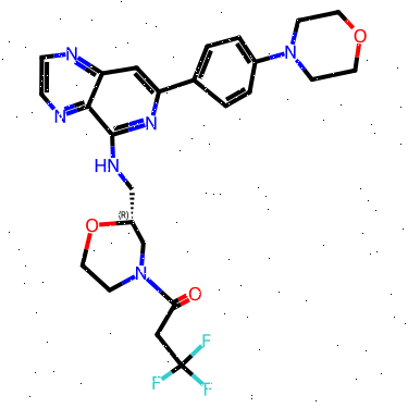 O=C(CC(F)(F)F)N1CCO[C@H](CNc2nc(-c3ccc(N4CCOCC4)cc3)cc3nccnc23)C1